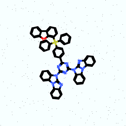 c1ccc(S(c2ccccc2)(c2ccc(-c3nc(-n4c5ccccc5n5c6ccccc6nc45)nc(-n4c5ccccc5n5c6ccccc6nc45)n3)cc2)c2cccc3c2oc2ccccc23)cc1